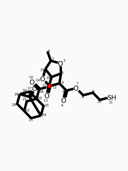 CC1OC2C(C(=O)OCCCS)C(=O)OC1C2OC(=O)C12CC3CC(C1)C(=O)C(C3)C2